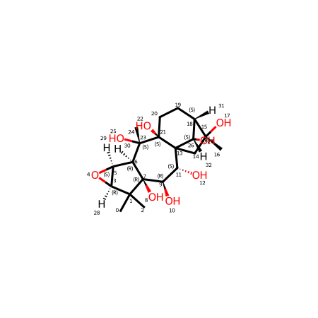 CC1(C)[C@H]2O[C@H]2[C@@H]2[C@]1(O)[C@H](O)[C@@H](O)C13C[C@@](C)(O)[C@@H](CC[C@@]1(O)[C@@]2(C)O)[C@@H]3O